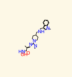 C=N/C(=N\C=C(/C)C(=O)NO)N1CCC(CNCc2cn(C)c3ccccc23)CC1